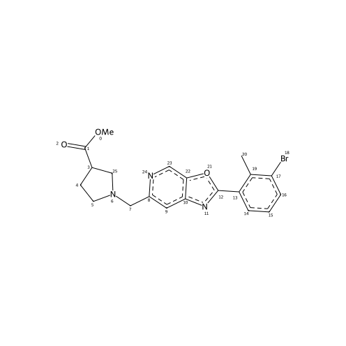 COC(=O)C1CCN(Cc2cc3nc(-c4cccc(Br)c4C)oc3cn2)C1